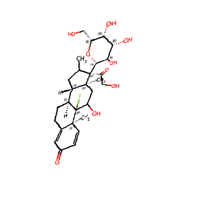 CC1C[C@H]2[C@@H]3CCC4=CC(=O)C=C[C@]4(C)[C@@]3(F)C(O)C[C@]2(C)[C@]1(C(=O)CO)[C@@H]1O[C@H](CO)[C@H](O)[C@H](O)[C@H]1O